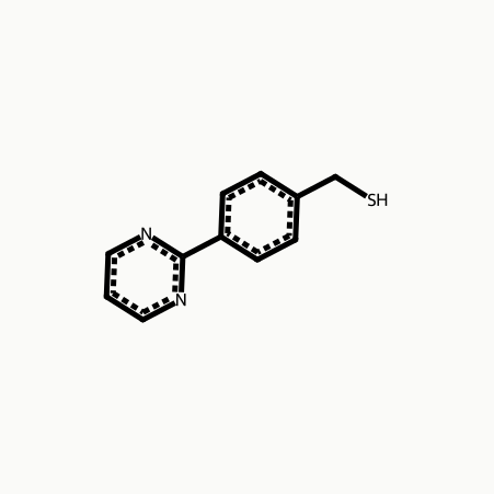 SCc1ccc(-c2ncccn2)cc1